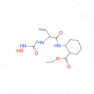 C=CC(NCC(=O)NO)C(=O)NC1CCCCC1C(=O)OCC